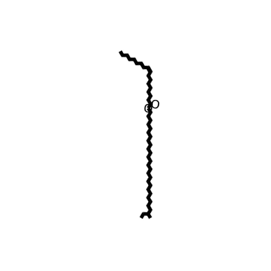 CCCCCCCC/C=C\CCCCCCCC(=O)OCCCCCCCCCCCCCCCCCCCCCCCCCC(C)CC